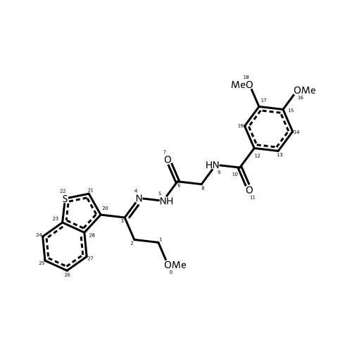 COCC/C(=N\NC(=O)CNC(=O)c1ccc(OC)c(OC)c1)c1csc2ccccc12